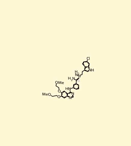 COCCOc1cc2ncnc(Nc3cccc(/C(N)=C/N(N)CCc4c[nH]c5cc(Cl)ccc45)c3)c2cc1OCCOC